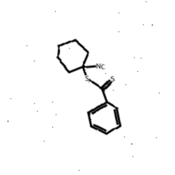 [C-]#[N+]C1(SC(=S)c2ccccc2)CCCCC1